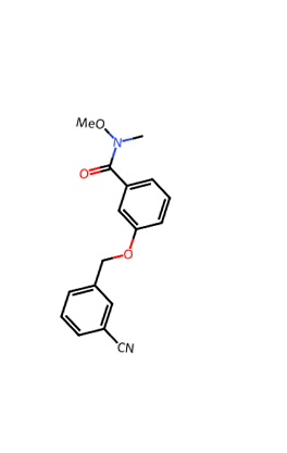 CON(C)C(=O)c1cccc(OCc2cccc(C#N)c2)c1